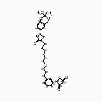 CC1(C)OCc2cc([C@@H]3CN(CCCCCCOCCCc4cccc(N5CC(=O)NC5=O)c4)C(=O)O3)ccc2O1